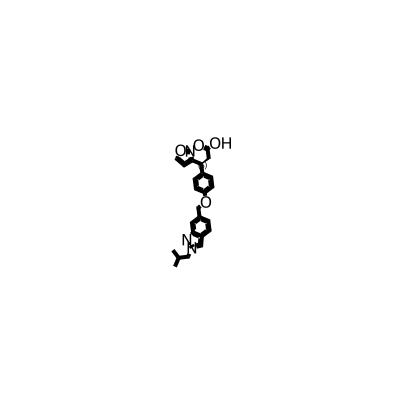 CC(C)Cn1cc2ccc(COc3ccc([C@H](CC(=O)O)c4ccon4)cc3)cc2n1